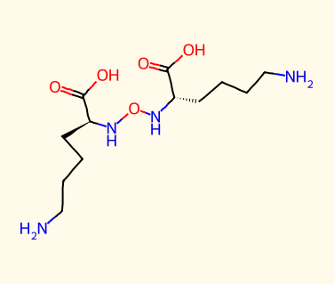 NCCCC[C@H](NON[C@@H](CCCCN)C(=O)O)C(=O)O